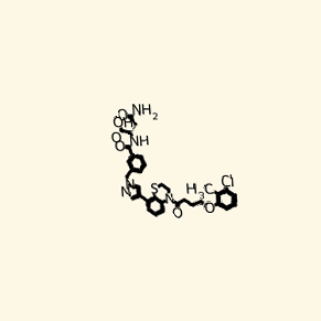 Cc1c(Cl)cccc1OCCCC(=O)N1CCSc2c(-c3cnn(Cc4cccc(C(=O)N[C@@H](CC(N)=O)C(=O)O)c4)c3)cccc21